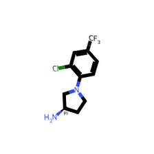 N[C@@H]1CCN(c2ccc(C(F)(F)F)cc2Cl)C1